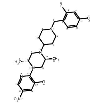 C[C@@H]1CN(C2CCN(Cc3ccc(Cl)cc3F)CC2)[C@@H](C)CN1c1ncc([N+](=O)[O-])cc1Cl